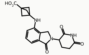 O=C1CCC(N2Cc3c(NC45CC(C(=O)O)(C4)C5)cccc3C2=O)C(=O)N1